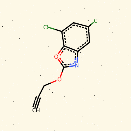 C#CCOc1nc2cc(Cl)cc(Cl)c2o1